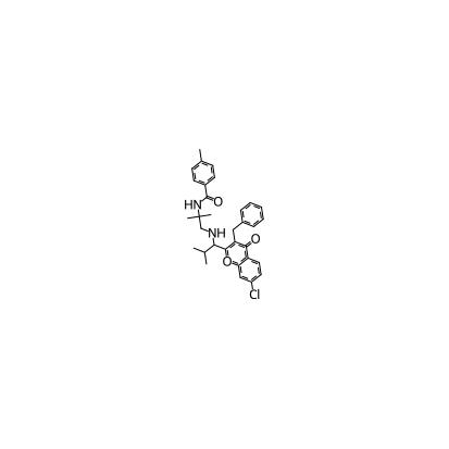 Cc1ccc(C(=O)NC(C)(C)CNC(c2oc3cc(Cl)ccc3c(=O)c2Cc2ccccc2)C(C)C)cc1